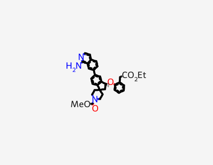 CCOC(=O)Cc1ccccc1O[C@@H]1CC2(CCN(C(=O)OC)CC2)c2ccc(-c3ccc4ccnc(N)c4c3)cc21